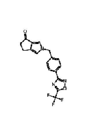 O=C1CCc2cn(Cc3ccc(-c4noc(C(F)(F)F)n4)cc3)cc21